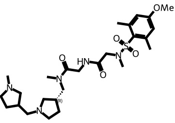 COc1cc(C)c(S(=O)(=O)N(C)CC(=O)NCC(=O)N(C)C[C@@H]2CCN(CC3CCN(C)C3)C2)c(C)c1